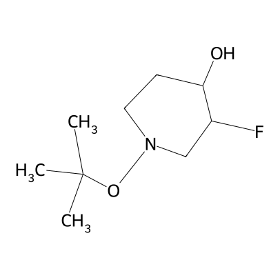 CC(C)(C)ON1CCC(O)C(F)C1